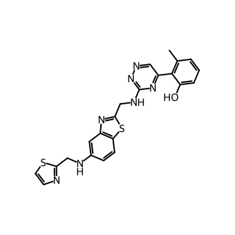 Cc1cccc(O)c1-c1cnnc(NCc2nc3cc(NCc4nccs4)ccc3s2)n1